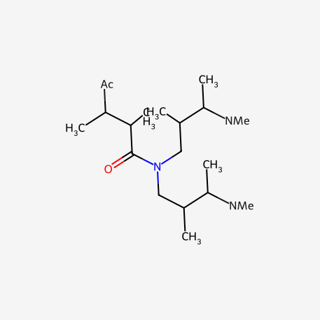 CNC(C)C(C)CN(CC(C)C(C)NC)C(=O)C(C)C(C)C(C)=O